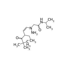 CCC(/C=C\N(N)CC(=O)NC(C)C)C(=O)C(C)(C)C